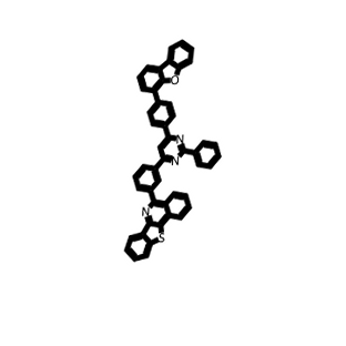 c1ccc(-c2nc(-c3ccc(-c4cccc5c4oc4ccccc45)cc3)cc(-c3cccc(-c4nc5c6ccccc6sc5c5ccccc45)c3)n2)cc1